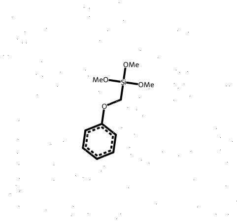 CO[Si](COc1ccccc1)(OC)OC